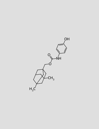 CC12CC3CC(C)(C1)CC(COC(=O)Nc1ccc(O)cc1)(C3)C2